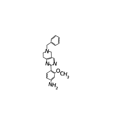 COc1cc(N)ccc1-c1ncc2c(n1)CCN(Cc1ccccc1)C2